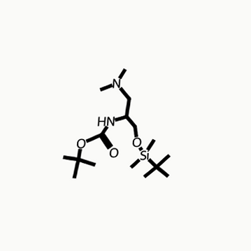 CN(C)CC(CO[Si](C)(C)C(C)(C)C)NC(=O)OC(C)(C)C